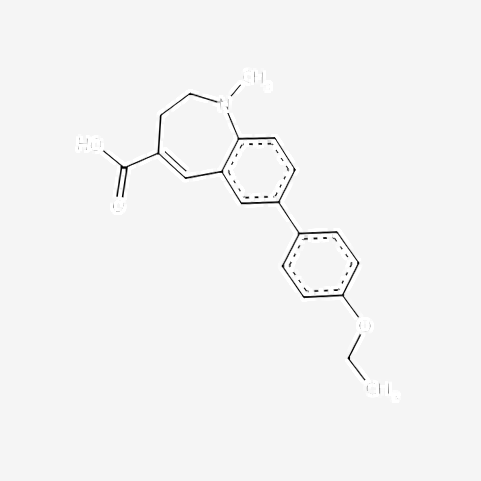 CCOc1ccc(-c2ccc3c(c2)C=C(C(=O)O)CCN3C)cc1